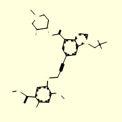 CNC(=O)c1cc(NCC#Cc2cc(C(=O)N[C@@H]3[C@@H](C)CN(C)C[C@@H]3F)c3ncn(CC(F)(F)F)c3c2)c(OC)cc1F